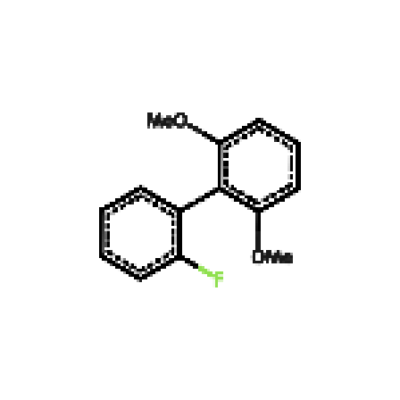 COc1cccc(OC)c1-c1ccccc1F